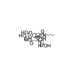 CCCCCNC(=O)[C@H](Cc1ccc(OC(C(=O)O)C(=O)O)cc1)NC(=O)[C@H](CC(=O)O)NC(=O)CCC(=O)O